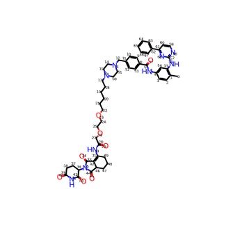 Cc1ccc(NC(=O)c2ccc(CN3CCN(CCCCCCOCCOCC(=O)NC4=C5C(=O)N(C6CCC(=O)NC6=O)C(=O)C5CCC4)CC3)cc2)cc1Nc1nccc(-c2ccccc2)n1